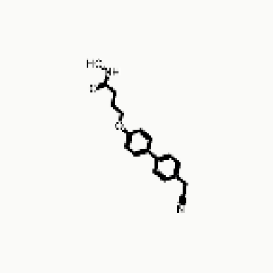 N#CCc1ccc(-c2ccc(OCCCC(=O)NO)cc2)cc1